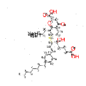 CCCCCCCCc1ccc(/C=C/C(Sc2ccc3c(=O)cc(C(=O)O)oc3c2CCC)C(O)CCCC(=O)O)cc1.[NaH].[NaH]